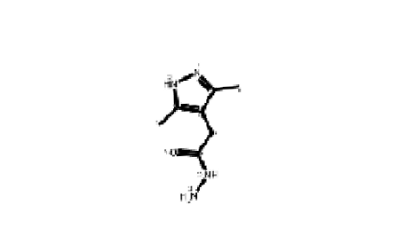 Cc1n[nH]c(C)c1CC(=O)NN